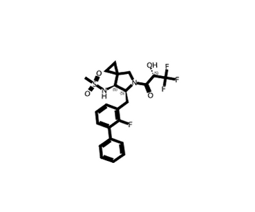 CS(=O)(=O)N[C@@H]1[C@H](Cc2cccc(-c3ccccc3)c2F)N(C(=O)[C@H](O)C(F)(F)F)CC12CC2